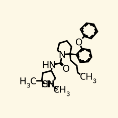 CCCCC1(c2ccccc2Oc2ccccc2)CCCCN1C(=O)NC(CNC)CC(C)C